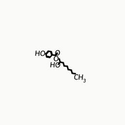 CCCCCCCCC(O)COC(=O)c1ccc(O)cc1